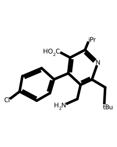 CC(C)c1nc(CC(C)(C)C)c(CN)c(-c2ccc(Cl)cc2)c1C(=O)O